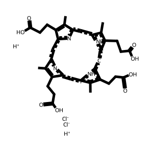 CC1=C(CCC(=O)O)c2cc3nc(cc4[nH]c(cc5[nH]c(cc1n2)c(C)c5CCC(=O)O)c(CCC(=O)O)c4C)C(CCC(=O)O)=C3C.[Cl-].[Cl-].[H+].[H+]